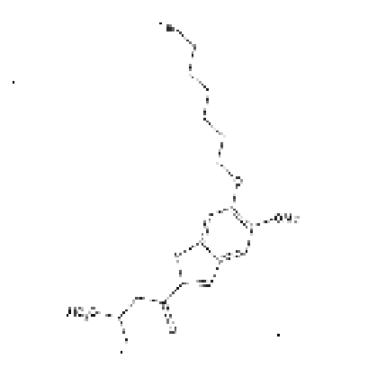 COc1cc2cc(C(=O)CC(C)C(=O)O)sc2cc1OCCCCCCBr